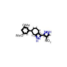 COc1cc(OC)cc(C2CCCc3c(-c4n[nH]cc4[N+](=O)[O-])n[nH]c3C2)c1